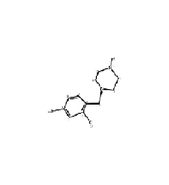 CN1CCN(Cc2ccc(F)cc2Cl)CC1